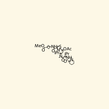 COC(=O)C12CC(NC(=O)c3csc([C@@H](C[C@H](C(C)C)N(C)C(=O)[C@@H](NC(=O)[C@H]4CCCCN4C)C(C)C)OC(C)=O)n3)(C1)C2